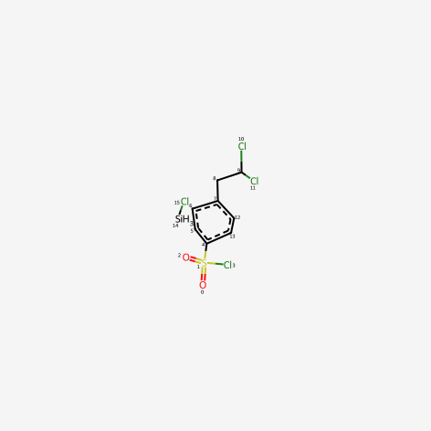 O=S(=O)(Cl)c1ccc(CC(Cl)Cl)cc1.[SiH3]Cl